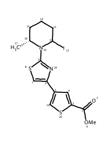 COC(=O)c1cc(-c2csc(N3C(I)CCC[C@H]3C)n2)cs1